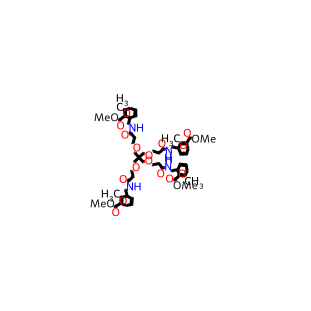 COC(=O)C1=C(C)C2(CNC(=O)CCOCC(COCCC(=O)NCC34C=CC(O3)C(C(=O)OC)=C4C)(COCCC(=O)NCC34C=CC(O3)C(C)=C4C(=O)OC)COCCC(=O)NCC34C=CC(O3)C(C)=C4C(=O)OC)C=CC1O2